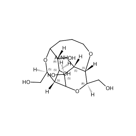 CC(=O)N[C@@H]1[C@@H]2OCCCC3O[C@H](CO)[C@@H](C(O[C@@H]2CO)[C@H]1O)[C@H](O)[C@H]3O